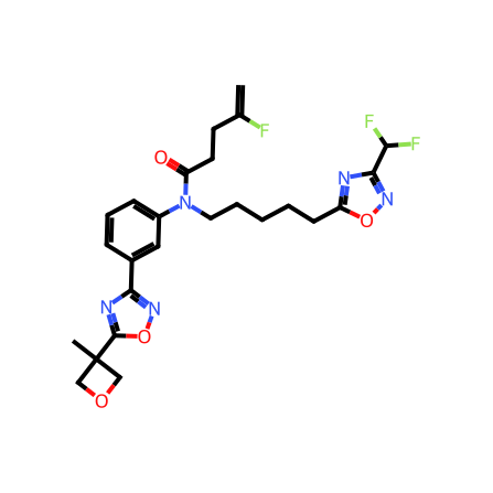 C=C(F)CCC(=O)N(CCCCCc1nc(C(F)F)no1)c1cccc(-c2noc(C3(C)COC3)n2)c1